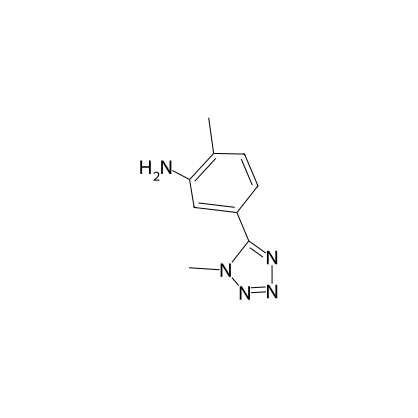 Cc1ccc(-c2nnnn2C)cc1N